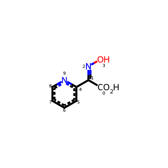 O=C(O)/C(=N\O)c1ccccn1